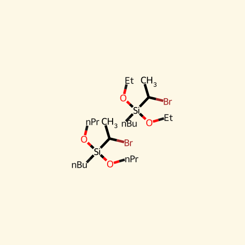 CCCC[Si](OCC)(OCC)C(C)Br.CCCC[Si](OCCC)(OCCC)C(C)Br